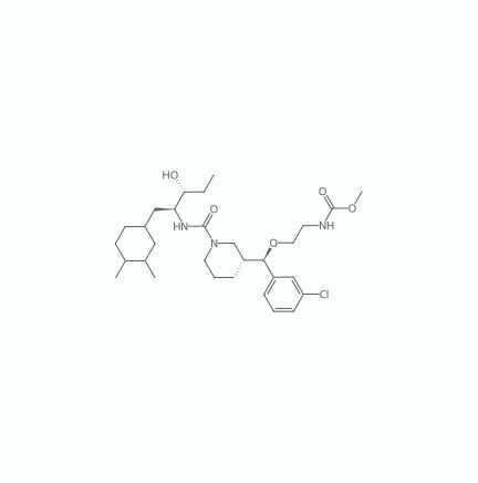 CC[C@@H](O)[C@H](CC1CCC(C)C(C)C1)NC(=O)N1CCC[C@@H]([C@@H](OCCNC(=O)OC)c2cccc(Cl)c2)C1